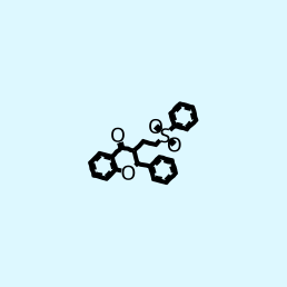 O=C1c2ccccc2OC(c2ccccc2)C1CCS(=O)(=O)c1ccccc1